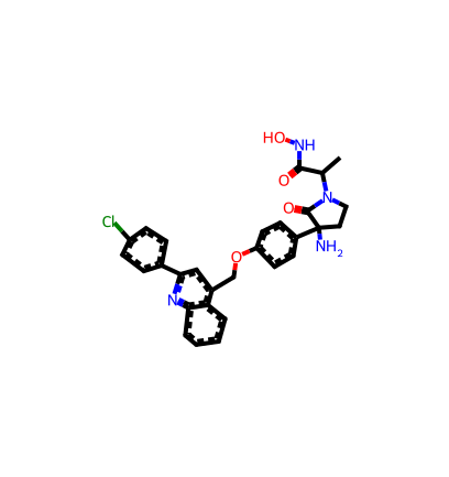 CC(C(=O)NO)N1CCC(N)(c2ccc(OCc3cc(-c4ccc(Cl)cc4)nc4ccccc34)cc2)C1=O